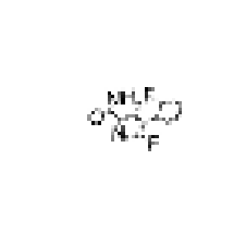 NC(=O)c1cc(-c2ccccc2F)c(F)cn1